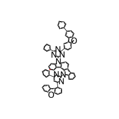 c1ccc(-c2ccc3oc4ccc(-c5nc(-c6ccccc6)nc(-n6c7ccccc7c7c6ccc6c8ccccc8n(-c8nc(-c9ccccc9)cc(-c9cccc%10oc%11ccccc%11c9%10)n8)c67)n5)cc4c3c2)cc1